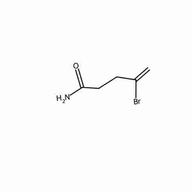 C=C(Br)CCC(N)=O